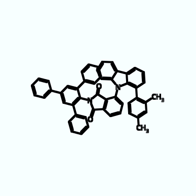 Cc1ccc(-c2cccc3c4ccccc4n(-c4cccc5c4C(=O)N(c4c(-c6ccccc6)cc(-c6ccccc6)cc4-c4ccccc4)C5=O)c23)c(C)c1